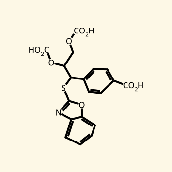 O=C(O)OCC(OC(=O)O)C(Sc1nc2ccccc2o1)c1ccc(C(=O)O)cc1